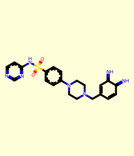 N=C1C=CC(CN2CCN(c3ccc(S(=O)(=O)Nc4ccncn4)cc3)CC2)=CC1=N